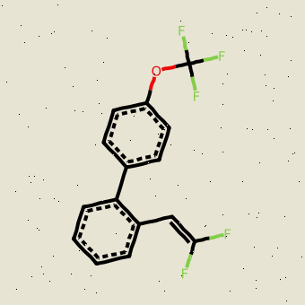 FC(F)=Cc1ccccc1-c1ccc(OC(F)(F)F)cc1